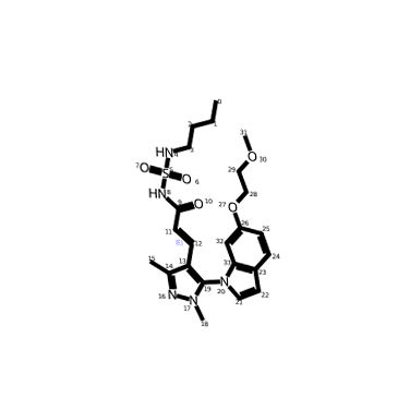 CCCCNS(=O)(=O)NC(=O)/C=C/c1c(C)nn(C)c1-n1ccc2ccc(OCCOC)cc21